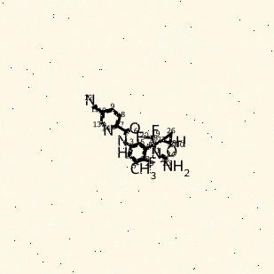 Cc1cc(NC(=O)c2ccc(C#N)cn2)cc([C@@]2(C(F)F)N=C(N)O[C@@H]3CC32)c1F